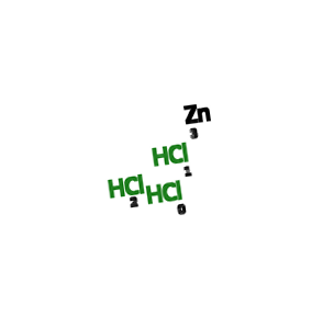 Cl.Cl.Cl.[Zn]